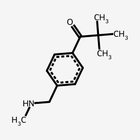 CNCc1ccc(C(=O)C(C)(C)C)cc1